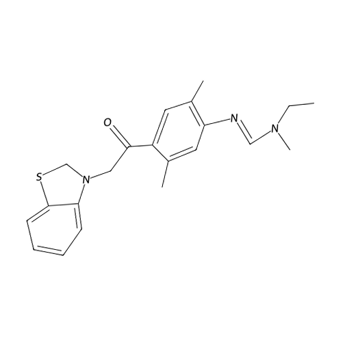 CCN(C)C=Nc1cc(C)c(C(=O)CN2CSc3ccccc32)cc1C